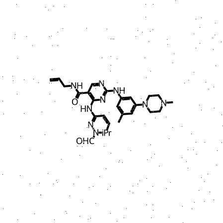 C=CCNC(=O)c1cnc(Nc2cc(C)cc(N3CCN(C)CC3)c2)nc1NC(/C=C\C)=N/N(C=O)C(C)C